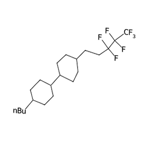 CCCCC1CCC(C2CCC(CCC(F)(F)C(F)(F)C(F)(F)F)CC2)CC1